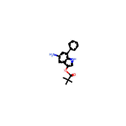 CC(C)(C)C(=O)Oc1c[nH]c2c(-c3ccccc3)cc(N)cc12